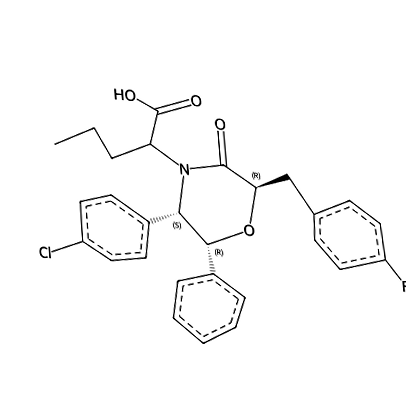 CCCC(C(=O)O)N1C(=O)[C@@H](Cc2ccc(F)cc2)O[C@H](c2ccccc2)[C@@H]1c1ccc(Cl)cc1